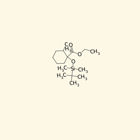 CCOC(=O)C1(O[Si](C)(C)C(C)(C)C)CCCCC1C